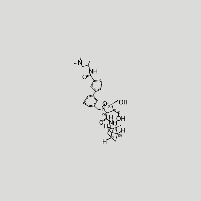 CC(CN(C)C)NC(=O)c1cccc(-c2cccc(CN3O[C@@H](CO)[C@@H]([C@H](C)O)[C@H]3C(=O)N[C@H]3C[C@H]4C[C@@H]([C@@H]3C)C4(C)C)c2)c1